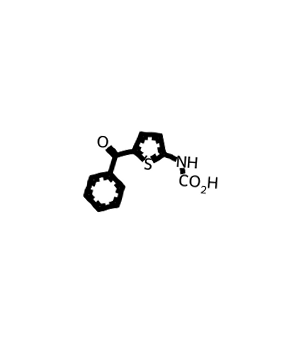 O=C(O)Nc1ccc(C(=O)c2ccccc2)s1